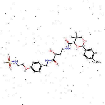 COc1ccc(C2OCC(C)(C)[C@H](C(=O)NCCC(O)C(=O)NCc3ccc(OCCNS(C)(=O)=O)cc3)O2)cc1